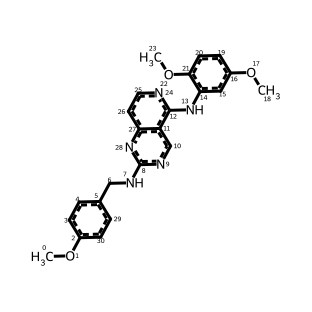 COc1ccc(CNc2ncc3c(Nc4cc(OC)ccc4OC)nccc3n2)cc1